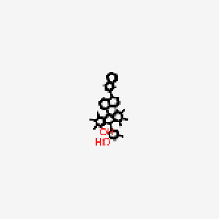 Cc1cc(O)cc(-c2c3c(C)c(C)c(C)c(C)c3c(-c3cccc4c(-c5ccc6ccccc6c5)cccc34)c3c(C)c(C)c(C)c(O)c23)c1